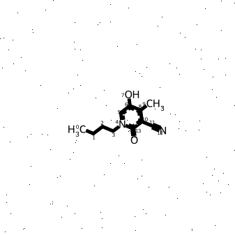 CCCCn1cc(O)c(C)c(C#N)c1=O